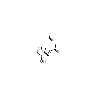 C=C(C)C(=O)O.C=CC.C=CC.OCCO